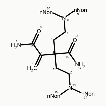 C=C(C(N)=O)C(CCN(CCCCCCCCC)CCCCCCCCC)(CCN(CCCCCCCCC)CCCCCCCCC)C(N)=O